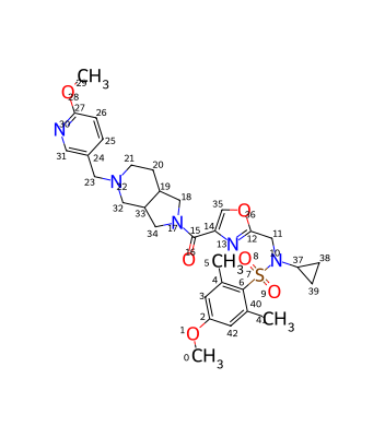 COc1cc(C)c(S(=O)(=O)N(Cc2nc(C(=O)N3CC4CCN(Cc5ccc(OC)nc5)CC4C3)co2)C2CC2)c(C)c1